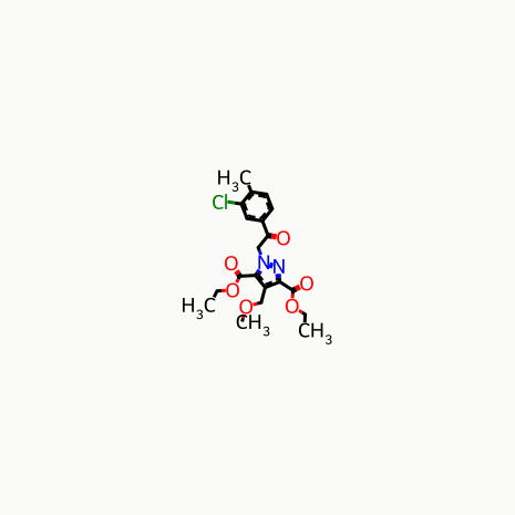 CCOC(=O)c1nn(CC(=O)c2ccc(C)c(Cl)c2)c(C(=O)OCC)c1COC